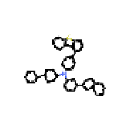 c1ccc(-c2ccc(N(c3ccc(-c4cccc5sc6ccccc6c45)cc3)c3cccc(-c4ccc5ccccc5c4)c3)cc2)cc1